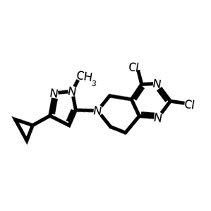 Cn1nc(C2CC2)cc1N1CCc2nc(Cl)nc(Cl)c2C1